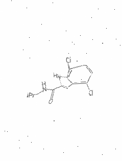 CC(C)NC(=O)c1cc2c(Cl)ccc(Cl)c2[nH]1